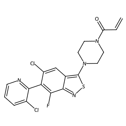 C=CC(=O)N1CCN(c2snc3c(F)c(-c4ncccc4Cl)c(Cl)cc23)CC1